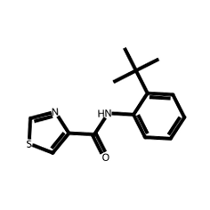 CC(C)(C)c1ccccc1NC(=O)c1cscn1